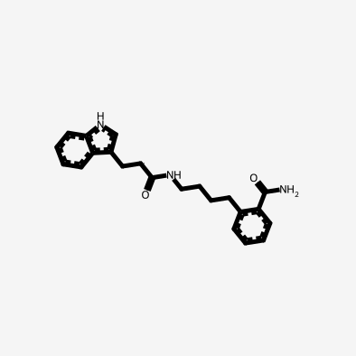 NC(=O)c1ccccc1CCCCNC(=O)[CH]Cc1c[nH]c2ccccc12